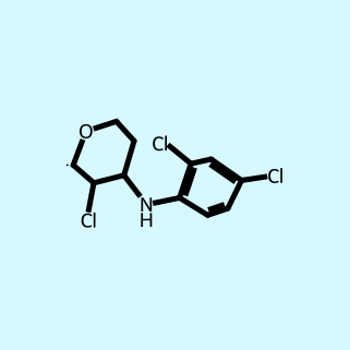 Clc1ccc(NC2CCO[CH]C2Cl)c(Cl)c1